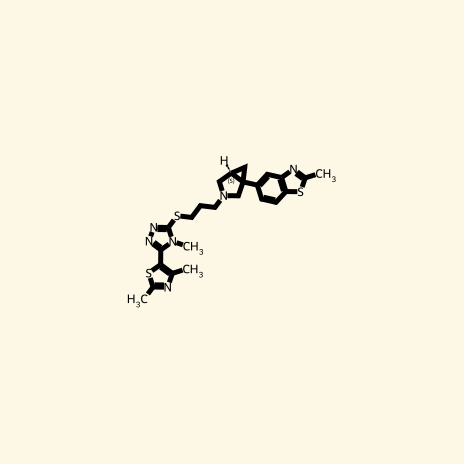 Cc1nc(C)c(-c2nnc(SCCCN3C[C@H]4CC4(c4ccc5sc(C)nc5c4)C3)n2C)s1